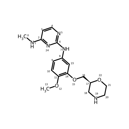 CNc1ccnc(Nc2ccc(OC)c(OC[C@@H]3CNCCO3)c2)n1